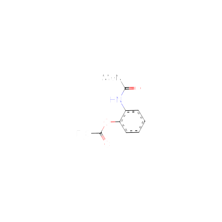 CNC(=O)Nc1[c]cccc1OC(=O)C(F)(F)F